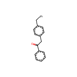 CC(C)Cc1ccc(CC(=O)c2ccccc2)cc1